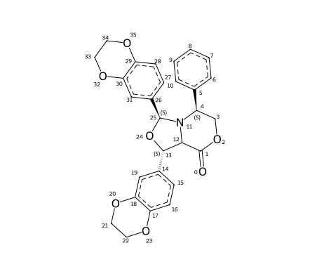 O=C1OC[C@H](c2ccccc2)N2C1[C@H](c1ccc3c(c1)OCCO3)O[C@H]2c1ccc2c(c1)OCCO2